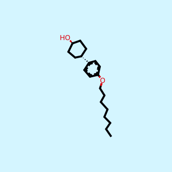 CCCCCCCCOc1ccc([C@H]2CC[C@H](O)CC2)cc1